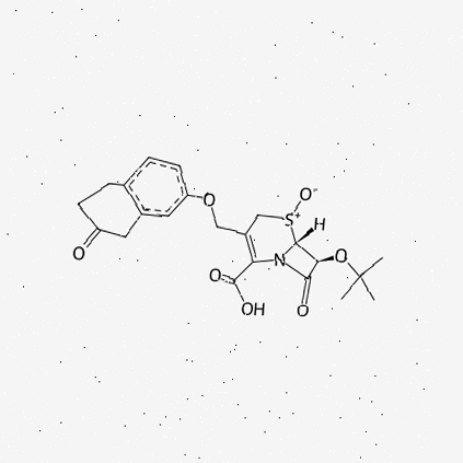 CC(C)(C)O[C@H]1C(=O)N2C(C(=O)O)=C(COc3ccc4c(c3)CC(=O)CC4)C[S+]([O-])[C@H]12